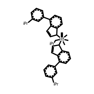 [CH2]=[Hf]([CH3])([CH3])([CH3])([CH2]C(C)C)([CH]1C=Cc2c(-c3cccc(C(C)C)c3)cccc21)[CH]1C=Cc2c(-c3cccc(C(C)C)c3)cccc21